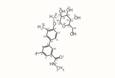 CNC(=O)c1cc(F)cc(-c2ccc(O[C@H]3OC(CO)[C@@H](O)C(O)[C@]3(C)O)c(C)c2)c1